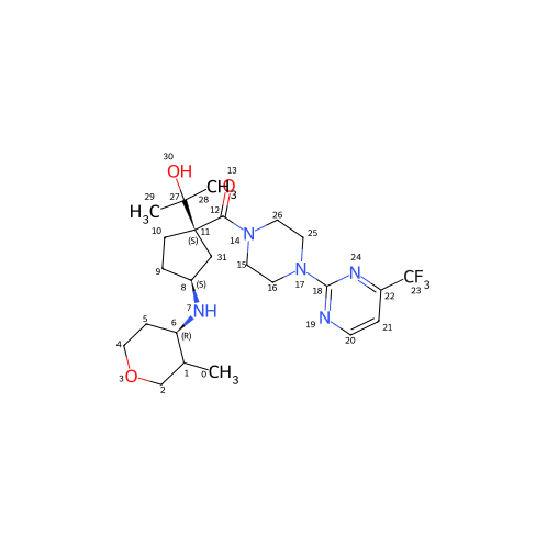 CC1COCC[C@H]1N[C@H]1CC[C@@](C(=O)N2CCN(c3nccc(C(F)(F)F)n3)CC2)(C(C)(C)O)C1